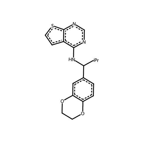 CC(C)C(Nc1ncnc2sccc12)c1ccc2c(c1)OCCO2